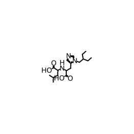 CCC(CC)Cn1cncc1CC(NC(CC(C)C)C(=O)O)C(=O)O